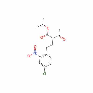 CC(=O)C(CCc1ccc(Cl)cc1[N+](=O)[O-])C(=O)OC(C)C